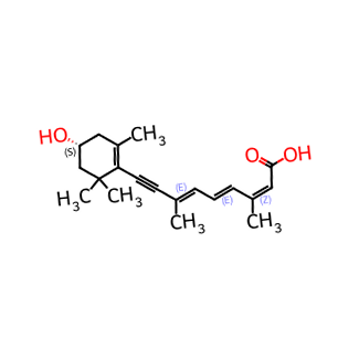 CC1=C(C#C/C(C)=C/C=C/C(C)=C\C(=O)O)C(C)(C)C[C@H](O)C1